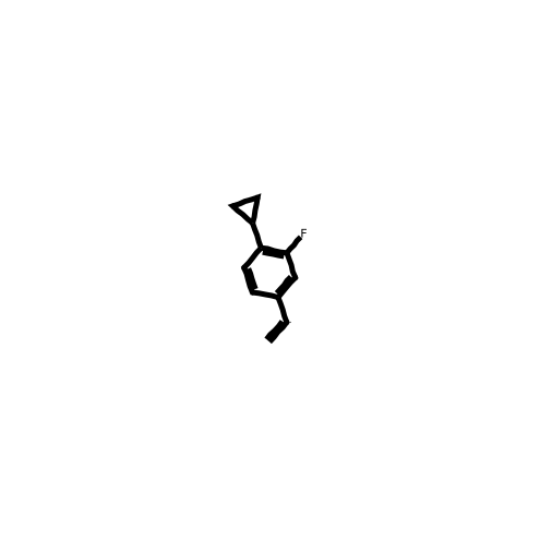 C=[C]c1ccc(C2CC2)c(F)c1